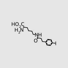 NC(CCCCNC(=O)CCc1ccc(I)cc1)C(=O)O